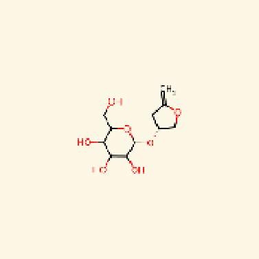 C=C1C[C@@H](OC2OC(CO)C(O)C(O)C2O)CO1